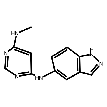 CNc1cc(Nc2ccc3[nH]ncc3c2)ncn1